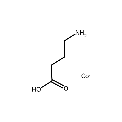 NCCCC(=O)O.[Co]